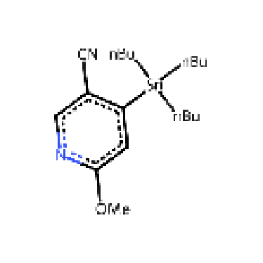 CCC[CH2][Sn]([CH2]CCC)([CH2]CCC)[c]1cc(OC)ncc1C#N